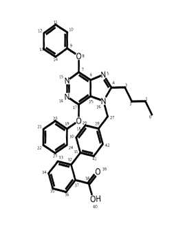 CCCCc1nc2c(Oc3ccccc3)nnc(Oc3ccccc3)c2n1Cc1ccc(-c2ccccc2C(=O)O)cc1